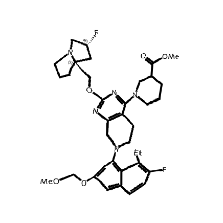 CCc1c(F)ccc2cc(OCOC)cc(N3CCc4c(nc(OC[C@@]56CCCN5C[C@H](F)C6)nc4N4CCCC(C(=O)OC)C4)C3)c12